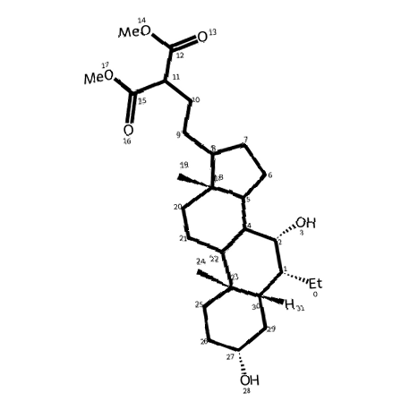 CC[C@H]1[C@@H](O)C2C3CCC(CCC(C(=O)OC)C(=O)OC)[C@@]3(C)CCC2[C@@]2(C)CC[C@@H](O)C[C@@H]12